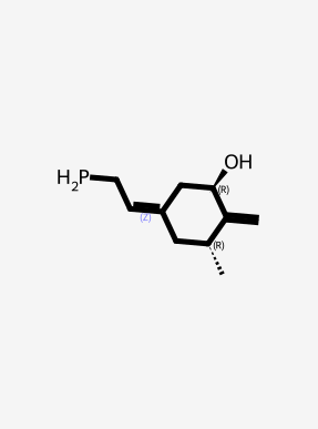 C=C1[C@H](C)C/C(=C/CP)C[C@H]1O